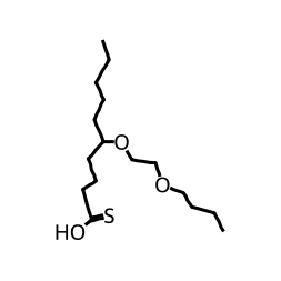 CCCCCC(CCCC(O)=S)OCCOCCCC